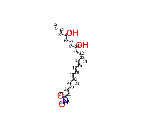 CC/C=C/[C@@H](O)CCCC(O)CC[C@H](C)/C=C/C=C/C=C(C)/C=C/C=C/C(=O)N=O